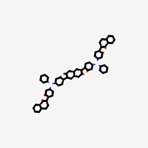 c1ccc(N(c2ccc3c(c2)oc2cc4cc5c(cc4cc23)sc2cc(N(c3ccccc3)c3ccc4c(c3)oc3c6ccccc6ccc43)ccc25)c2ccc3c(c2)oc2c4ccccc4ccc32)cc1